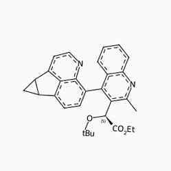 CCOC(=O)[C@@H](OC(C)(C)C)c1c(C)nc2ccccc2c1-c1ccc2c3c(ccnc13)C1CC21